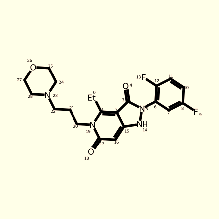 CCc1c2c(=O)n(-c3cc(F)ccc3F)[nH]c2cc(=O)n1CCCN1CCOCC1